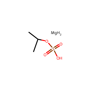 CC(C)OS(=O)(=O)O.[MgH2]